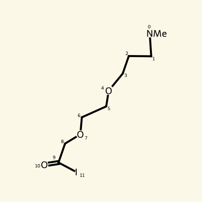 CNCCCOCCOCC(=O)I